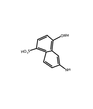 COc1ccc(S(=O)(=O)O)c2ccc([NH])cc12